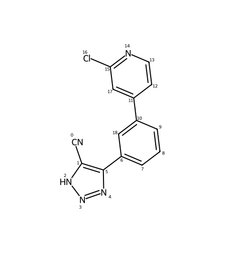 N#Cc1[nH]nnc1-c1cccc(-c2ccnc(Cl)c2)c1